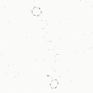 COC(CCCNC(=O)c1ccccc1O)C1CCC(CCN2CCN(c3ccc(C)cc3F)CC2)CC1